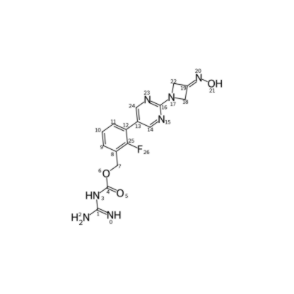 N=C(N)NC(=O)OCc1cccc(-c2cnc(N3CC(=NO)C3)nc2)c1F